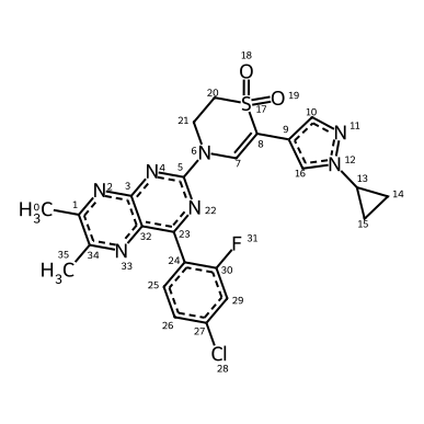 Cc1nc2nc(N3C=C(c4cnn(C5CC5)c4)S(=O)(=O)CC3)nc(-c3ccc(Cl)cc3F)c2nc1C